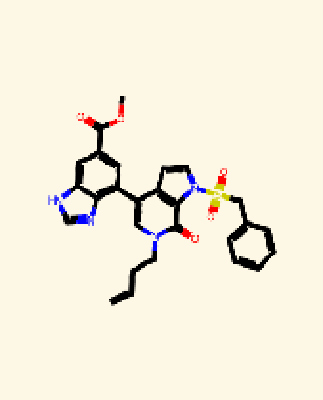 C=CCCn1cc(-c2cc(C(=O)OC)cc3[nH]cnc23)c2ccn(S(=O)(=O)Cc3ccccc3)c2c1=O